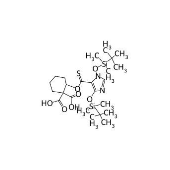 CC(C)(C)[Si](C)(C)Oc1ncn(O[Si](C)(C)C(C)(C)C)c1C(=S)OC1CCCCC1(C(=O)O)C(=O)O